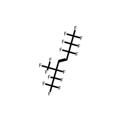 FC(F)(F)C(F)(F)C(F)(F)/C=C/C(F)(C(F)(F)F)C(F)(F)C(F)(F)F